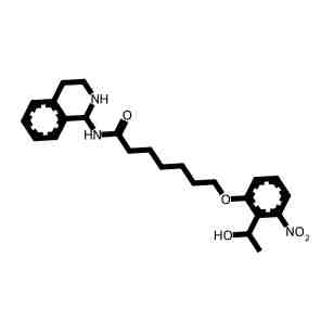 CC(O)c1c(OCCCCCCC(=O)NC2NCCc3ccccc32)cccc1[N+](=O)[O-]